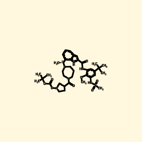 COc1c(NC(=O)c2cc3cccc([C@@H](C)N4CCCN(C(=O)C5CCN(OC(=O)OC(C)(C)C)C5)CC4)c3[nH]2)cc(C(C)(C)C)cc1NS(C)(=O)=O